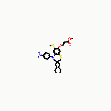 CCCCC1(CCCC)CSc2cc(O/C=C/C(=O)OC)c(SC)cc2N(c2ccc(N(C)C)cc2)C1